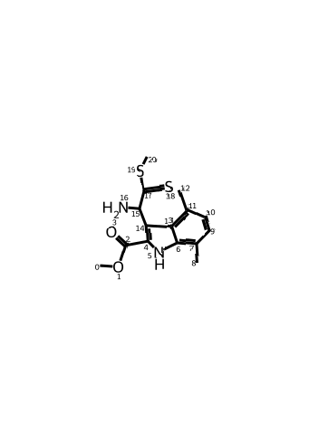 COC(=O)c1[nH]c2c(C)ccc(C)c2c1C(N)C(=S)SC